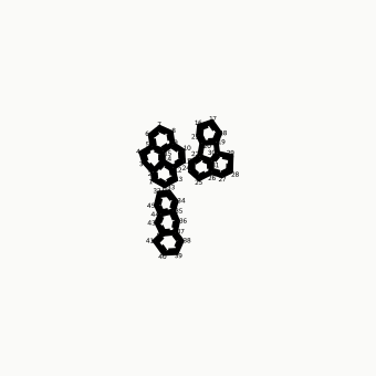 c1cc2ccc3cccc4ccc(c1)c2c34.c1ccc2c(c1)-c1cccc3cccc-2c13.c1ccc2cc3ccccc3cc2c1